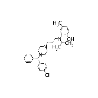 Cc1ccc(O)c(N(CCCN2CCN(C(c3ccccc3)c3ccc(Cl)cc3)CC2)C(C)C)c1